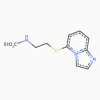 CCOC(=O)NCCSc1cccc2nccn12